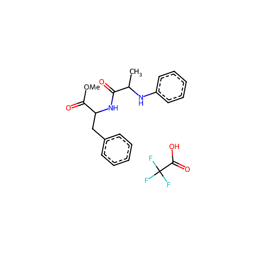 COC(=O)C(Cc1ccccc1)NC(=O)C(C)Nc1ccccc1.O=C(O)C(F)(F)F